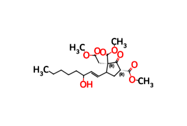 CCCCCC(O)C=CC1C[C@@H](C(=O)OC)C(=O)[C@]1(CC(=O)OC)C(=O)OC